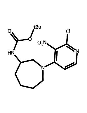 CC(C)(C)OC(=O)NC1CCCCN(c2ccnc(Cl)c2[N+](=O)[O-])C1